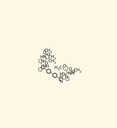 COC(=O)NC(C(=O)N1CCC[C@H]1c1ncc(-c2ccc(-c3ccc(-c4[nH]c(C5CCCN5C(=O)[C@@H](NC(=O)OC)C(C)C)c5c4CCC5)cc3)cc2)[nH]1)C1CCOC(C)C1